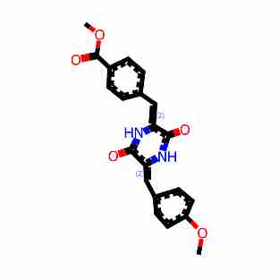 COC(=O)c1ccc(/C=c2\[nH]c(=O)/c(=C/c3ccc(OC)cc3)[nH]c2=O)cc1